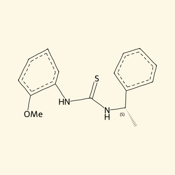 COc1ccccc1NC(=S)N[C@@H](C)c1ccccc1